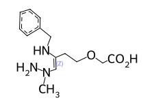 CN(N)/C=C(/CCOCC(=O)O)NCc1ccccc1